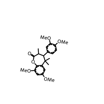 COc1cc(OC)c2c(c1)C(C)(C)C(c1ccc(OC)c(OC)c1)C(C)C(=O)O2